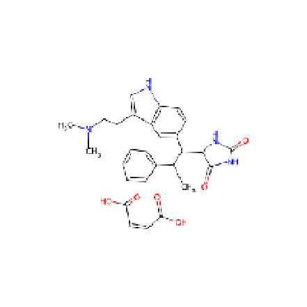 CC(c1ccccc1)C(c1ccc2[nH]cc(CCN(C)C)c2c1)C1NC(=O)NC1=O.O=C(O)/C=C\C(=O)O